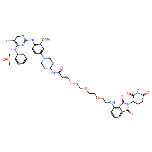 COc1cc(N2CCC(NC(=O)/C=C/OCCOCCOCCNc3cccc4c3C(=O)N(C3CCC(=O)NC3=O)C4=O)CC2)ccc1Nc1ncc(Cl)c(Nc2ccccc2P(C)(C)=O)n1